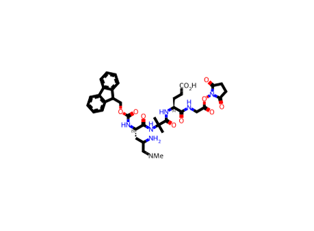 CNCC(N)C[C@H](NC(=O)OCC1c2ccccc2-c2ccccc21)C(=O)NC(C)(C)C(=O)N[C@@H](CCC(=O)O)C(=O)NCC(=O)ON1C(=O)CCC1=O